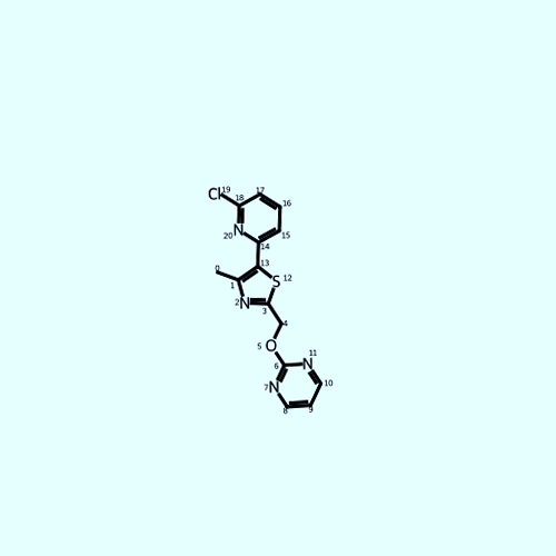 Cc1nc(COc2ncccn2)sc1-c1cccc(Cl)n1